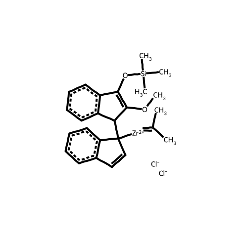 COC1=C(O[Si](C)(C)C)c2ccccc2C1[C]1([Zr+2]=[C](C)C)C=Cc2ccccc21.[Cl-].[Cl-]